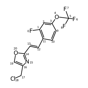 Fc1cc(OC(F)(F)F)ccc1C=Cc1nc(CCl)co1